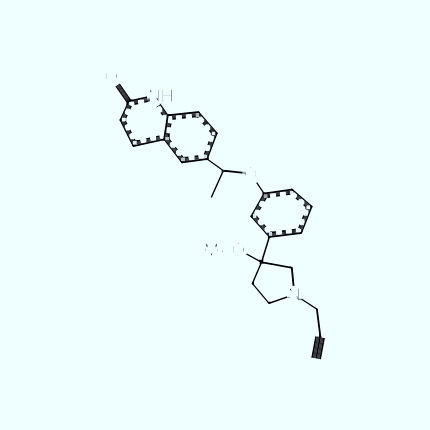 C#CCN1CCC(OC)(c2cccc(OC(C)c3ccc4[nH]c(=O)ccc4c3)c2)C1